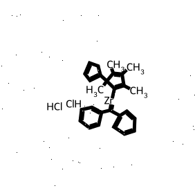 CC1=C(C)C(C)(C2=CC=CC2)[C]([Zr]=[C](c2ccccc2)c2ccccc2)=C1C.Cl.Cl